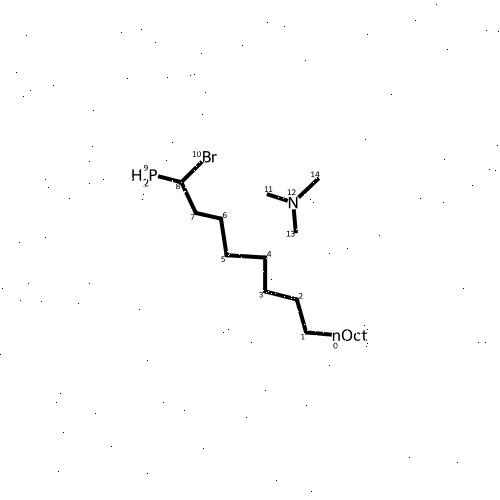 CCCCCCCCCCCCCCCC(P)Br.CN(C)C